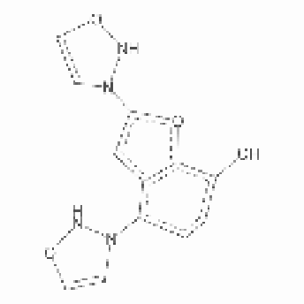 Oc1ccc(N2C=CON2)c2cc(N3C=CON3)oc12